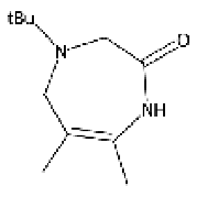 CC1=C(C)NC(=O)CN(C(C)(C)C)C1